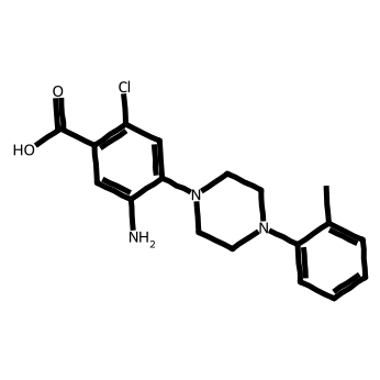 Cc1ccccc1N1CCN(c2cc(Cl)c(C(=O)O)cc2N)CC1